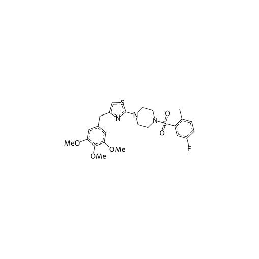 COc1cc(Cc2csc(N3CCN(S(=O)(=O)c4cc(F)ccc4C)CC3)n2)cc(OC)c1OC